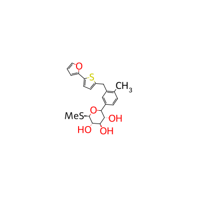 CS[C@H]1OC(c2ccc(C)c(Cc3ccc(-c4ccco4)s3)c2)[C@H](O)[C@@H](O)[C@@H]1O